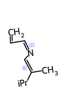 C=C/C=N\C=C(/C)C(C)C